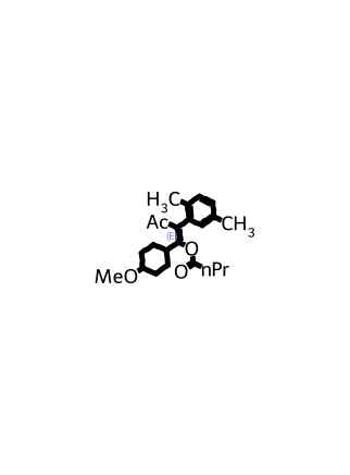 CCCC(=O)O/C(=C(/C(C)=O)c1cc(C)ccc1C)C1CCC(OC)CC1